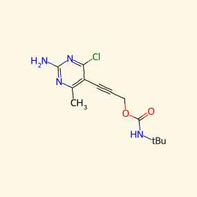 Cc1nc(N)nc(Cl)c1C#CCOC(=O)NC(C)(C)C